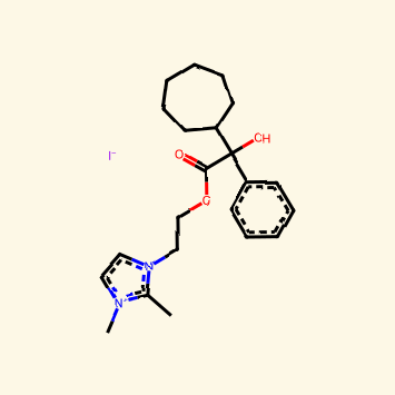 Cc1n(CCOC(=O)C(O)(c2ccccc2)C2CCCCCC2)cc[n+]1C.[I-]